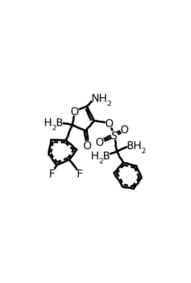 BC1(c2ccc(F)c(F)c2)OC(N)=C(OS(=O)(=O)C(B)(B)c2ccccc2)C1=O